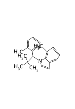 Cc1cccnc1C(n1ccc2cccc(C)c21)C(C)(C)C